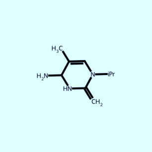 C=C1NC(N)C(C)=CN1C(C)C